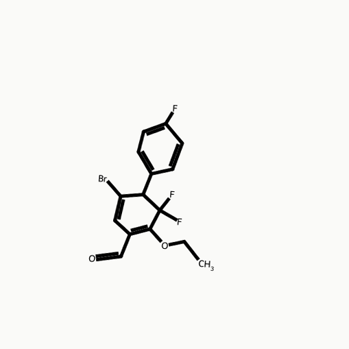 CCOC1=C(C=O)C=C(Br)C(c2ccc(F)cc2)C1(F)F